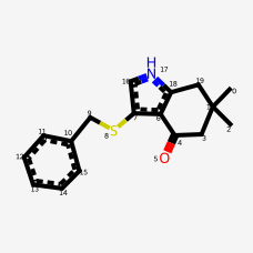 CC1(C)CC(=O)c2c(SCc3ccccc3)c[nH]c2C1